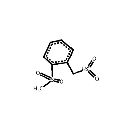 CS(=O)(=O)c1ccccc1C[SH](=O)=O